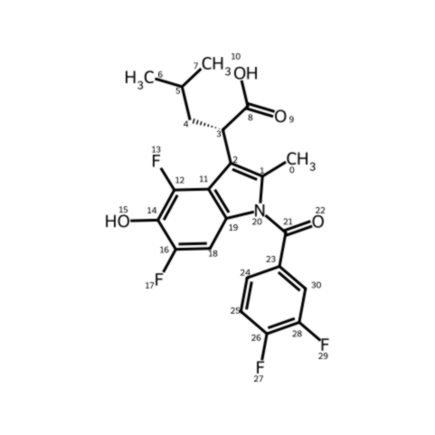 Cc1c([C@H](CC(C)C)C(=O)O)c2c(F)c(O)c(F)cc2n1C(=O)c1ccc(F)c(F)c1